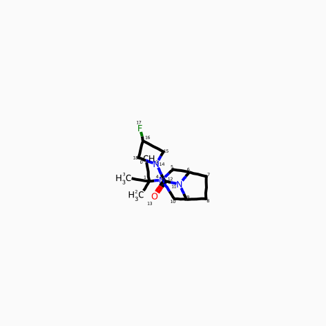 CC(C)(C)N1CC2CCC(C1)N2C(=O)N1CC(F)C1